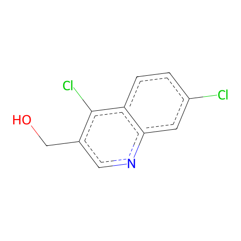 OCc1cnc2cc(Cl)ccc2c1Cl